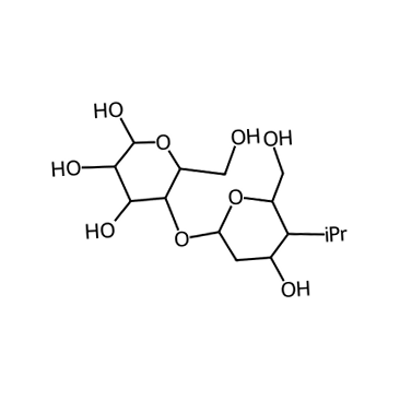 CC(C)C1C(O)CC(OC2C(CO)OC(O)C(O)C2O)OC1CO